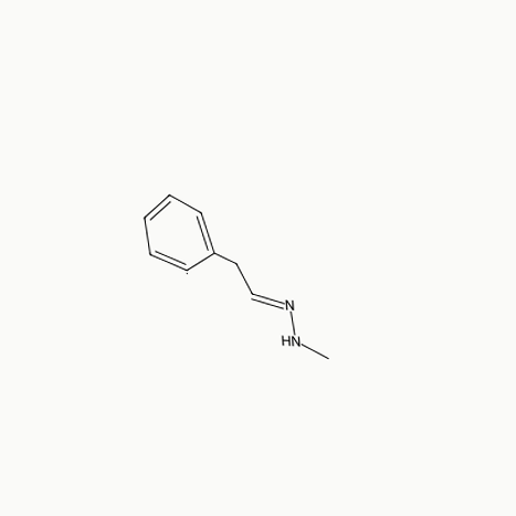 CNN=CCc1[c]cccc1